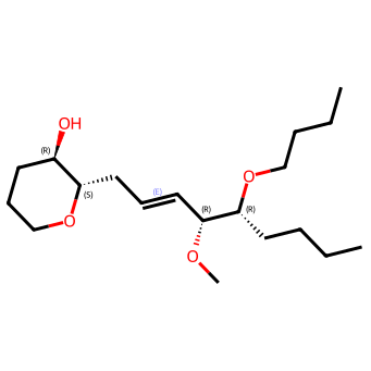 CCCCO[C@H](CCCC)[C@@H](/C=C/C[C@@H]1OCCC[C@H]1O)OC